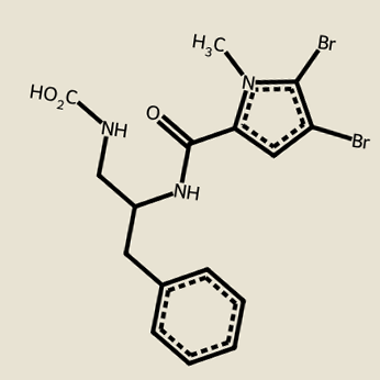 Cn1c(C(=O)NC(CNC(=O)O)Cc2ccccc2)cc(Br)c1Br